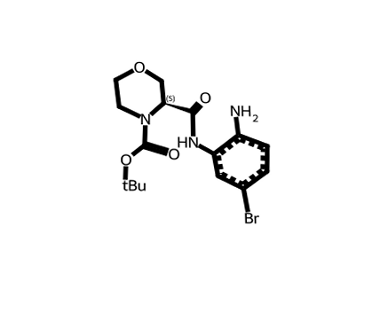 CC(C)(C)OC(=O)N1CCOC[C@H]1C(=O)Nc1cc(Br)ccc1N